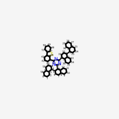 c1ccc2c(-c3ccc4ccccc4c3-c3nc(-c4ccc(-c5cccc6ccccc56)c5ccccc45)nc(-c4cccc5c4sc4ccccc45)n3)cccc2c1